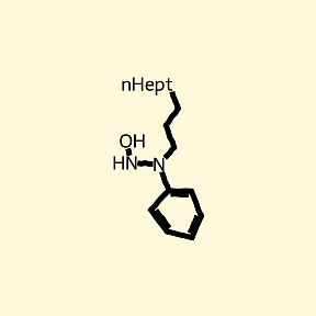 CCCCCCCCCCN(NO)c1ccccc1